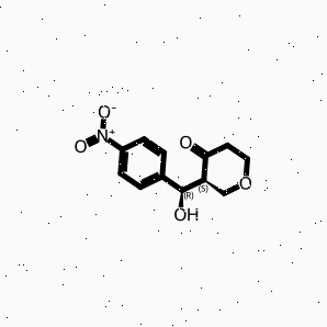 O=C1CCOC[C@H]1[C@@H](O)c1ccc([N+](=O)[O-])cc1